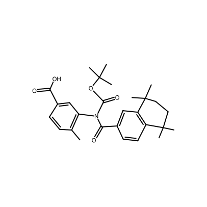 Cc1ccc(C(=O)O)cc1N(C(=O)OC(C)(C)C)C(=O)c1ccc2c(c1)C(C)(C)CCC2(C)C